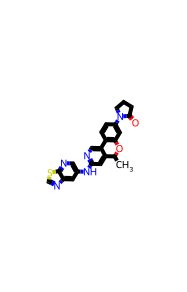 CC1Oc2cc(N3CCCC3=O)ccc2-c2cnc(Nc3cnc4scnc4c3)cc21